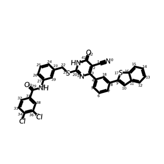 N#Cc1c(-c2cccc(-c3cc4ccccc4s3)c2)nc(SCc2cccc(NC(=O)c3ccc(Cl)c(Cl)c3)c2)[nH]c1=O